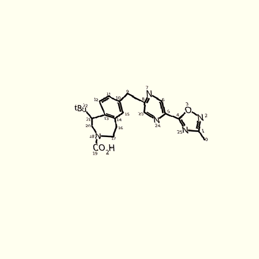 Cc1noc(-c2cnc(Cc3ccc4c(c3)CCN(C(=O)O)CC4C(C)(C)C)cn2)n1